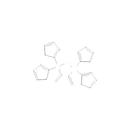 C=C[Si](O[Si](C=C)(C1=CC=CC1)C1=CC=CC1)(C1=CC=CC1)C1=CC=CC1